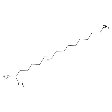 CCCCCCCCC/C=C/CCCC[C](C)C